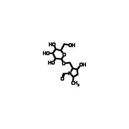 CC1CC(O)C(COC2OC(CO)C(O)C(O)C2O)N1C=O